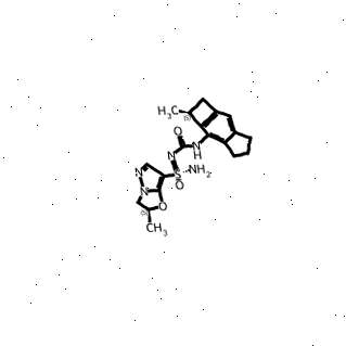 C[C@H]1Cn2ncc([S@](N)(=O)=NC(=O)Nc3c4c(cc5c3[C@@H](C)C5)CCC4)c2O1